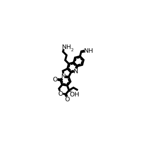 CC[C@@]1(O)C(=O)OCc2c1cc1n(c2=O)Cc2c-1nc1ccc(C=N)cc1c2CCCN